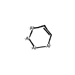 [CH]1=[CH][Al][Al][Al][Al]1